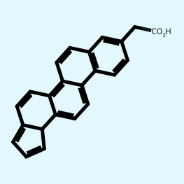 O=C(O)Cc1ccc2c(ccc3c4c(ccc32)C2C=CC=C2C=C4)c1